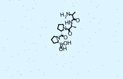 CC(N)C(=O)N[C@@H](C)C(=O)N1CCC[C@H]1C(=O)N1CCC[C@H]1B(O)O